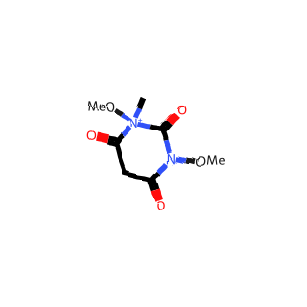 CON1C(=O)CC(=O)[N+](C)(OC)C1=O